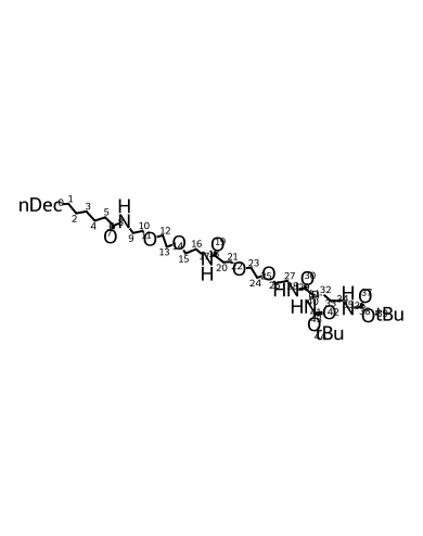 CCCCCCCCCCCCCCCC(=O)NCCOCCOCCNC(=O)CCOCCOCCNC(=O)[C@H](CCCNC(=O)OC(C)(C)C)NC(=O)OC(C)(C)C